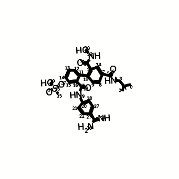 CC(C)CNC(=O)c1ccc(-c2ccccc2C(=O)Nc2ccc(C(=N)N)cc2)c(C(=O)NO)c1.CS(=O)(=O)O